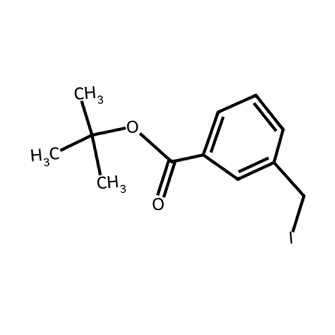 CC(C)(C)OC(=O)c1cccc(CI)c1